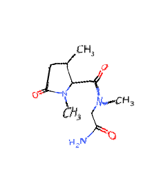 CC1CC(=O)N(C)C1C(=O)N(C)CC(N)=O